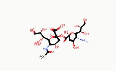 CC(=O)N[C@H]1[C@H]([C@H](O)[C@H](O)CO)O[C@](OC(=O)[C@]2(O)C[C@H](O)[C@@H](N)[C@H]([C@H](O)[C@H](O)CO)O2)(C(=O)O)C[C@@H]1O